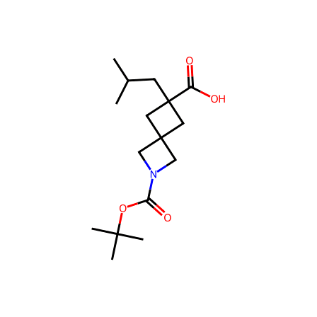 CC(C)CC1(C(=O)O)CC2(CN(C(=O)OC(C)(C)C)C2)C1